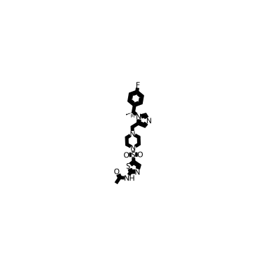 CC(=O)Nc1ncc(S(=O)(=O)N2CCN(Cc3cncn3[C@H](C)c3ccc(F)cc3)CC2)s1